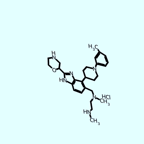 CNCCN(C)Cc1ccc2[nH]c(C3CNCCO3)nc2c1C1CCN(c2cccc(C)c2)CC1.Cl